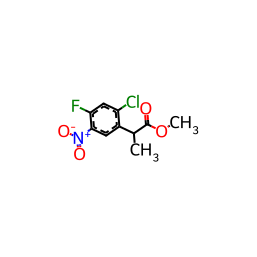 COC(=O)C(C)c1cc([N+](=O)[O-])c(F)cc1Cl